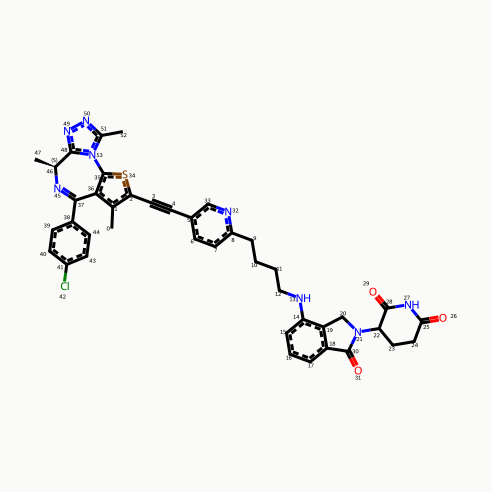 Cc1c(C#Cc2ccc(CCCCNc3cccc4c3CN(C3CCC(=O)NC3=O)C4=O)nc2)sc2c1C(c1ccc(Cl)cc1)=N[C@@H](C)c1nnc(C)n1-2